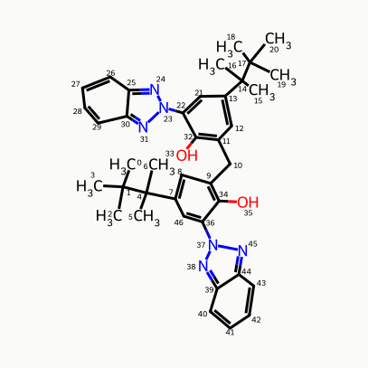 CC(C)(C)C(C)(C)c1cc(Cc2cc(C(C)(C)C(C)(C)C)cc(-n3nc4ccccc4n3)c2O)c(O)c(-n2nc3ccccc3n2)c1